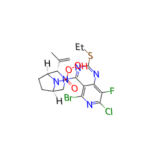 C=C(C)[C@H]1[C@@H]2CC[C@H](CN1c1nc(SCC)nc3c(F)c(Cl)nc(Br)c13)N2C(=O)OO